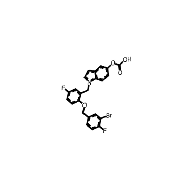 O=C(O)Oc1ccc2c(ccn2Cc2cc(F)ccc2OCc2ccc(F)c(Br)c2)c1